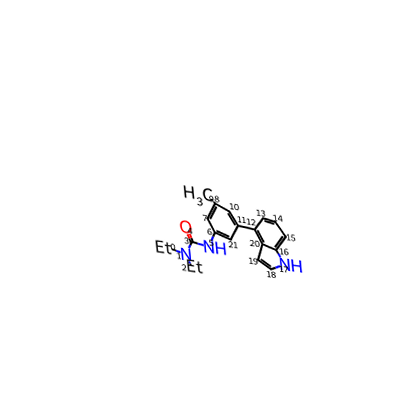 CCN(CC)C(=O)Nc1cc(C)cc(-c2cccc3[nH]ccc23)c1